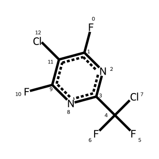 Fc1nc(C(F)(F)Cl)nc(F)c1Cl